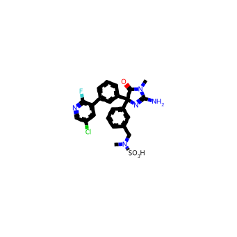 CN1C(=O)C(c2cccc(CN(C)S(=O)(=O)O)c2)(c2cccc(-c3cc(Cl)cnc3F)c2)N=C1N